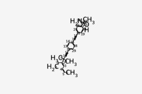 C=C/C(=C\C=C/C)C(C)(C)C#Cc1ccc(C#Cc2ccc(C(C)(N)O)cc2)cc1